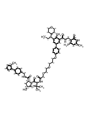 CCN(c1cc(-c2ccc(OCCCOCCOCC(=O)NC(C(=O)N3C[C@H](O)C[C@H]3C(=O)NCc3ccc(-c4scnc4C)cc3)C(C)(C)C)cc2)cc(C(=O)NCc2c(C)cc(C)[nH]c2=O)c1C)C1CCOCC1